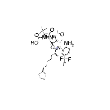 C=C(CCCCCC1CCCC1)/C(=N\c1cc(C(F)(F)F)ccc1N)O[C@H]1CN(C(=O)[C@@H](NC(=O)O)C(C)(C)C)[C@H](C(C)=O)[C@@H]1CC